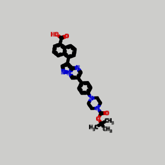 CC(C)(C)OC(=O)N1CCN(c2ccc(-c3cnc4c(-c5cccc6c(C(=O)O)cccc56)cnn4c3)cc2)CC1